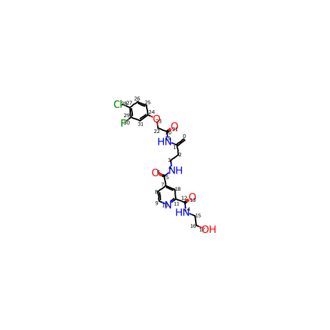 C=C(CCNC(=O)c1ccnc(C(=O)NCCO)c1)NC(=O)COc1ccc(Cl)c(F)c1